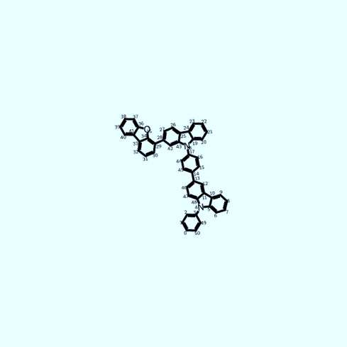 c1ccc(-n2c3ccccc3c3cc(-c4ccc(-n5c6ccccc6c6ccc(-c7cccc8c7oc7ccccc78)cc65)cc4)ccc32)cc1